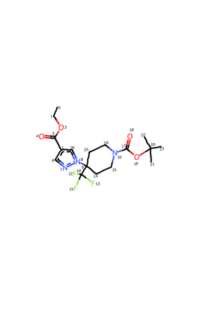 CCOC(=O)c1cnn(C2(C(F)(F)F)CCN(C(=O)OC(C)(C)C)CC2)c1